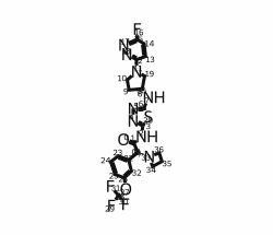 O=C(Nc1nnc(N[C@@H]2CCN(c3ccc(F)nn3)C2)s1)[C@@H](c1cccc(OC(F)(F)F)c1)N1CCC1